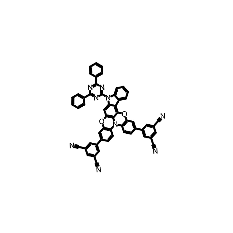 N#Cc1cc(C#N)cc(-c2ccc3c(c2)Oc2cc4c(c5c2N3c2ccc(-c3cc(C#N)cc(C#N)c3)cc2O5)c2ccccc2n4-c2nc(-c3ccccc3)nc(-c3ccccc3)n2)c1